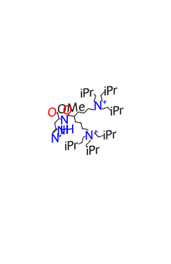 COC(=O)C(Cc1cnc[nH]1)NC(=O)C(CCCC[N+](CCC(C)C)(CCC(C)C)CCC(C)C)CCCC[N+](CCC(C)C)(CCC(C)C)CCC(C)C